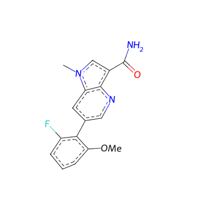 COc1cccc(F)c1-c1cnc2c(C(N)=O)cn(C)c2c1